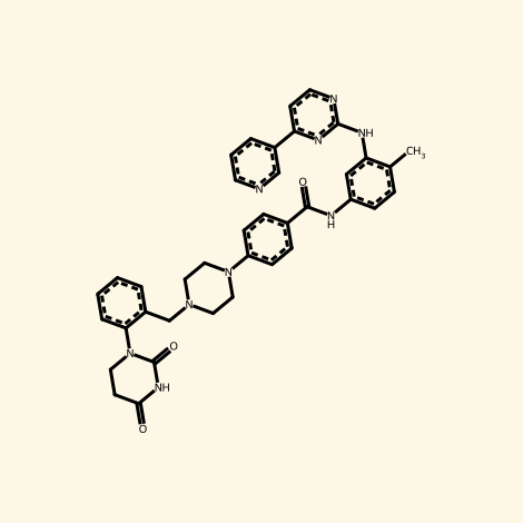 Cc1ccc(NC(=O)c2ccc(N3CCN(Cc4ccccc4N4CCC(=O)NC4=O)CC3)cc2)cc1Nc1nccc(-c2cccnc2)n1